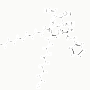 CCCCCCCCCCCCN(C(=O)CCCCCCCCCCC)[C@@H]1O[C@H](CO)[C@@H](O)[C@H](O)[C@H]1NC(=O)OCc1ccccc1